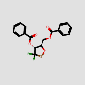 O=C(OC[C@H]1OSC(F)(F)[C@@H]1OC(=O)c1ccccc1)c1ccccc1